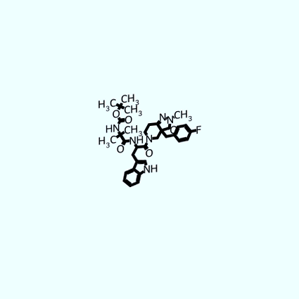 CN1N=C2CCN(C(=O)C(Cc3c[nH]c4ccccc34)NC(=O)C(C)(C)NC(=O)OC(C)(C)C)CC2(Cc2ccc(F)cc2)C1=O